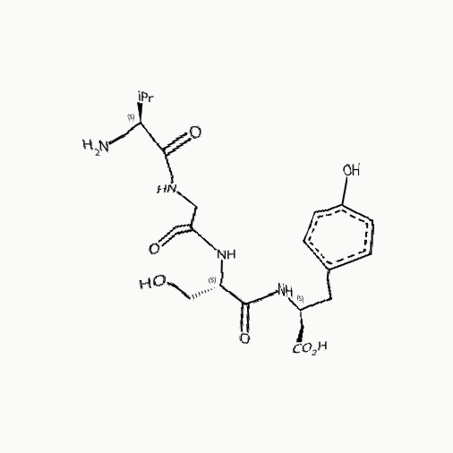 CC(C)[C@H](N)C(=O)NCC(=O)N[C@@H](CO)C(=O)N[C@@H](Cc1ccc(O)cc1)C(=O)O